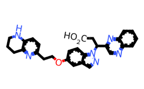 O=C(O)CC(c1cnc2ccccc2n1)n1ncc2cc(OCCc3ccc4c(n3)CCCN4)ccc21